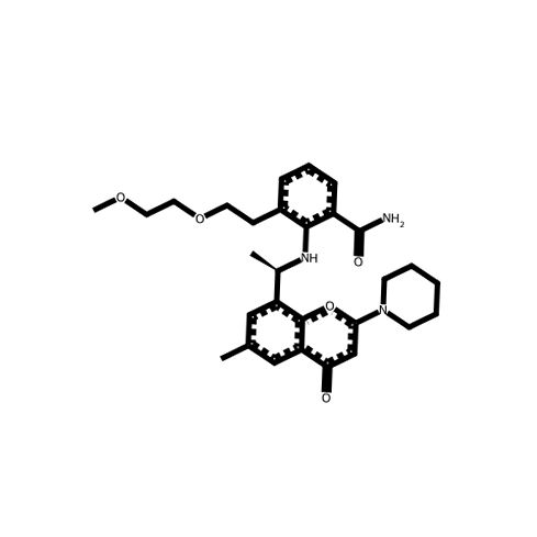 COCCOCCc1cccc(C(N)=O)c1N[C@H](C)c1cc(C)cc2c(=O)cc(N3CCCCC3)oc12